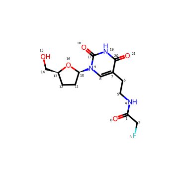 O=C(CF)NCCc1cn([C@H]2CC[C@@H](CO)O2)c(=O)[nH]c1=O